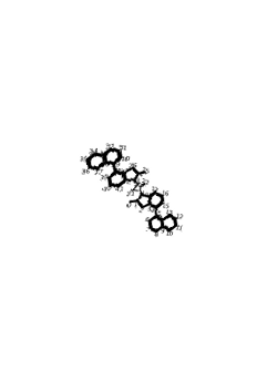 CC1=Cc2c(-c3cccc4ccccc34)cccc2[CH]1[Zr]([CH3])([CH3])[CH]1C(C)=Cc2c(-c3cccc4ccccc34)cccc21